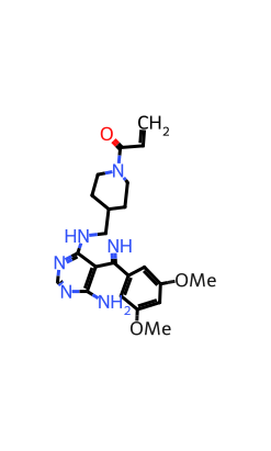 C=CC(=O)N1CCC(CNc2ncnc(N)c2C(=N)c2cc(OC)cc(OC)c2)CC1